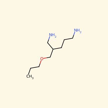 CCCOCC(CN)CCCN